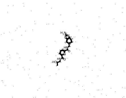 CC(O)CNC(=O)c1cccc(C(=O)NCc2ccc3nc(N)sc3c2)n1